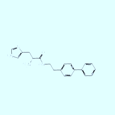 N[C@@H](Cc1c[nH]cn1)C(=O)NCCc1ccc(-c2ccccc2)cc1